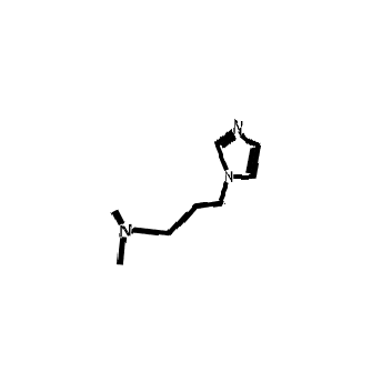 CN(C)CC[CH]n1ccnc1